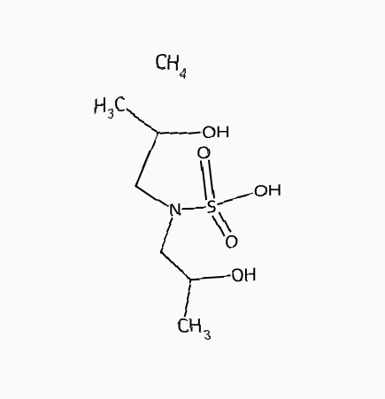 C.CC(O)CN(CC(C)O)S(=O)(=O)O